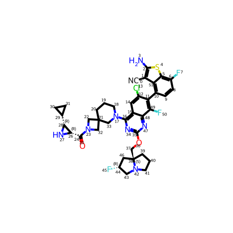 N#Cc1c(N)sc2c(F)ccc(-c3c(Cl)cc4c(N5CCCC6(CN(C(=O)[C@@H]7N[C@@H]7C7CC7)C6)C5)nc(OC[C@@]56CCCN5C[C@H](F)C6)nc4c3F)c12